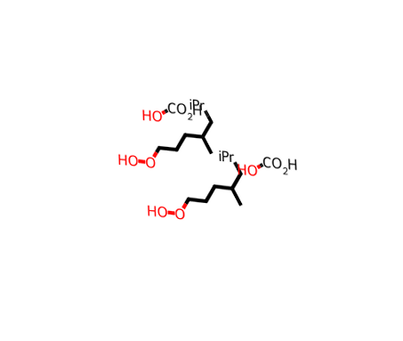 CC(C)CC(C)CCCOO.CC(C)CC(C)CCCOO.O=C(O)O.O=C(O)O